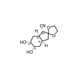 N#C[C@H]1[C@@H]2C[C@@H](O)[C@@H](O)C[C@@H]2CC12OCCO2